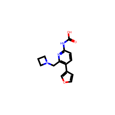 O=C(O)Nc1ccc(-c2ccoc2)c(CN2CCC2)n1